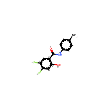 O=C(Nc1ccc([N+](=O)[O-])cc1)c1cc(F)c(F)cc1O